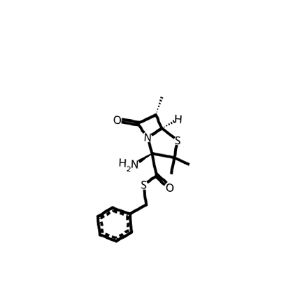 C[C@H]1C(=O)N2[C@@H]1SC(C)(C)[C@]2(N)C(=O)SCc1ccccc1